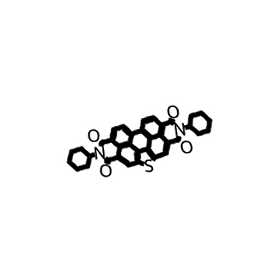 O=c1c2ccc3c4ccc5c(=O)n(C6CCCCC6)c(=O)c6cc7sc8cc(c(=O)n1C1CCCCC1)c2c3c8c7c4c56